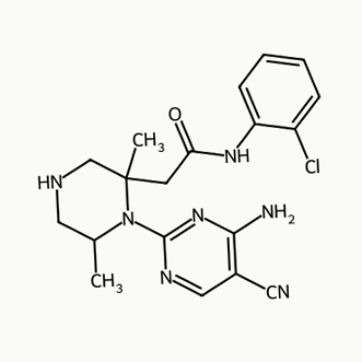 CC1CNCC(C)(CC(=O)Nc2ccccc2Cl)N1c1ncc(C#N)c(N)n1